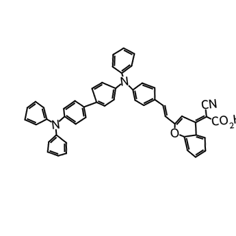 N#C/C(C(=O)O)=C1C=C(/C=C/c2ccc(N(c3ccccc3)c3ccc(-c4ccc(N(c5ccccc5)c5ccccc5)cc4)cc3)cc2)Oc2ccccc2\1